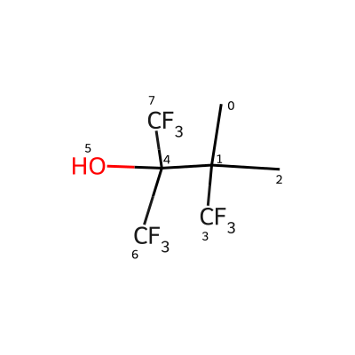 CC(C)(C(F)(F)F)C(O)(C(F)(F)F)C(F)(F)F